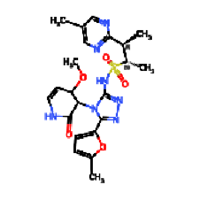 COC1C=CNC(=O)C1n1c(NS(=O)(=O)[C@@H](C)[C@H](C)c2ncc(C)cn2)nnc1-c1ccc(C)o1